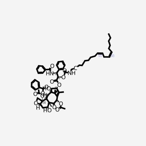 CCCCC/C=C\C/C=C\CCCCCCCCNC(=O)O[C@@H](C(=O)O[C@H]1C[C@@]2(O)[C@@H](OC(=O)c3ccccc3)[C@@H]3[C@]4(OC(C)=O)CO[C@@H]4C[C@H](O)[C@@]3(C)C(=O)[C@H](OC(C)=O)C(=C1C)C2(C)C)[C@@H](NC(=O)c1ccccc1)c1ccccc1